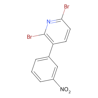 O=[N+]([O-])c1cccc(-c2ccc(Br)nc2Br)c1